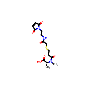 C[C@@H](C(=O)O)N(C)C(=O)CCSCC(=O)NCCN1C(=O)C=CC1=O